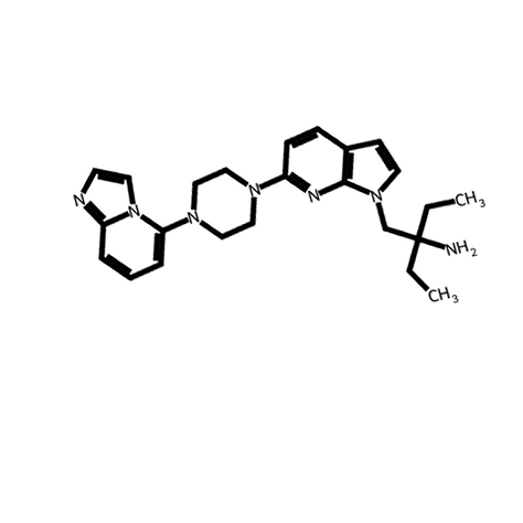 CCC(N)(CC)Cn1ccc2ccc(N3CCN(c4cccc5nccn45)CC3)nc21